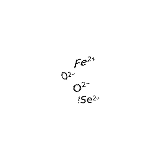 [Fe+2].[O-2].[O-2].[Se+2]